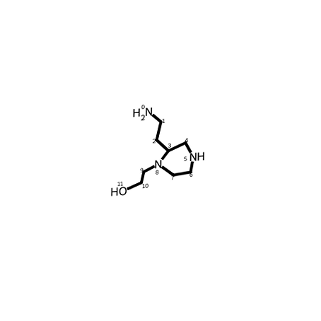 NCCC1CNCCN1CCO